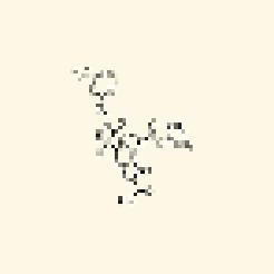 CC(C)OC(=O)OCOP(=O)(OCOC(=O)OC(C)C)C(F)(F)c1ccc2[nH]c(C(=O)O)cc2c1